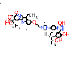 CCc1c2c(nc3ccc(OCCCN4CCN(c5ccc(-n6c(O)nnc6-c6cc(C(C)C)c(O)cc6O)cc5)CC4)cc13)-c1cc3c(c(=O)n1C2)COC(=O)C3(O)CC